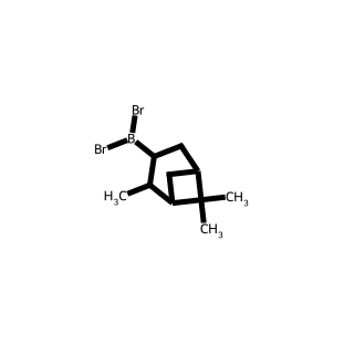 CC1C(B(Br)Br)CC2CC1C2(C)C